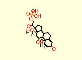 CC12C=CC(=O)C=C1CCC1C2[C@@H](O)CC2(C)C1CC[C@]2(O)C(=O)COP(=O)(O)O